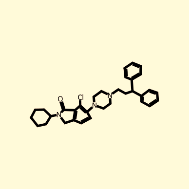 O=C1c2c(ccc(N3CCN(CCC(c4ccccc4)c4ccccc4)CC3)c2Cl)CN1C1CCCCC1